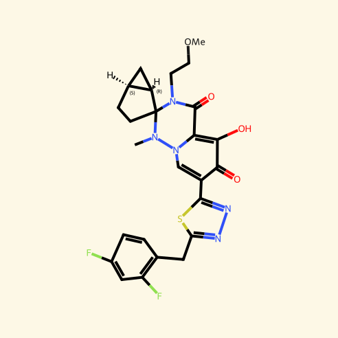 COCCN1C(=O)c2c(O)c(=O)c(-c3nnc(Cc4ccc(F)cc4F)s3)cn2N(C)C12CC[C@H]1C[C@H]12